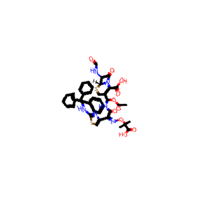 CC(=O)OC(NC(=O)/C(=N\OC(C)(C)C(=O)O)c1csc(NC(c2ccccc2)(c2ccccc2)c2ccccc2)n1)C1=C(C(=O)O)N2C(=O)[C@H](NC=O)[C@H]2SC1